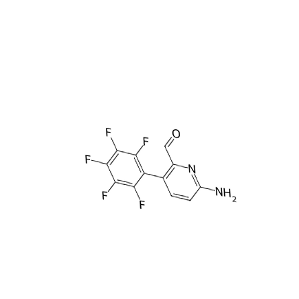 Nc1ccc(-c2c(F)c(F)c(F)c(F)c2F)c(C=O)n1